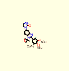 CCCCOc1c(OC)cc(-c2nc3cc(N4CCNC4=O)ccc3n2C2(C)COC2)c(F)c1OCCCC